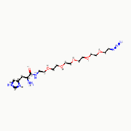 [N-]=[N+]=NCCOCCOCCOCCOCCOCCNC(=O)C(N)Cc1c[nH]cn1